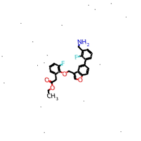 CCOC(=O)Cc1cccc(F)c1OCc1coc2ccc(-c3cccc(CN)c3F)cc12